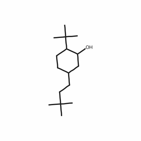 CC(C)(C)CCC1CCC(C(C)(C)C)C(O)C1